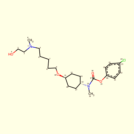 CN(CCO)CCCCCO[C@H]1CC[C@H](N(C)C(=O)Oc2ccc(Cl)cc2)CC1